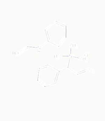 C=CC(c1ccccc1)[N+](C)(C)C.C=CNc1ccccc1.[Cl-]